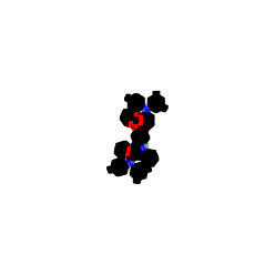 Cc1cc(C)cc(N(c2ccc(C)cc2-c2ccccc2)c2ccc3c4cc5c(cc4n4c6ccccc6c2c34)c2ccc(N(c3cc(C)cc(C)c3)c3ccc(C)cc3-c3ccccc3)c3c4ccccc4n5c23)c1